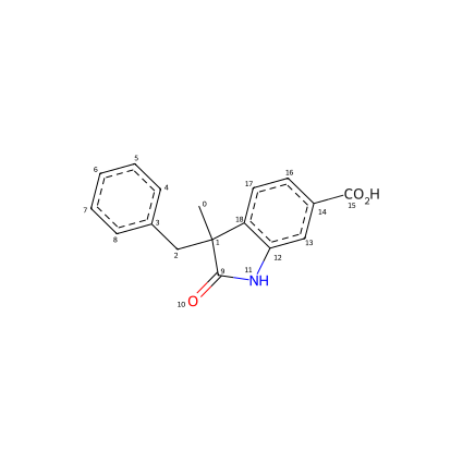 CC1(Cc2ccccc2)C(=O)Nc2cc(C(=O)O)ccc21